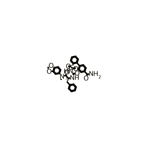 CN(C(=O)[C@H](Cc1ccccc1)NC(=O)NS(=O)(=O)c1ccccc1-c1ccc(C(N)=O)cc1)c1ccc2c(c1)OCO2